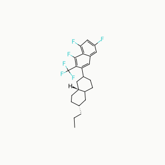 CCC[C@@H]1CC[C@@H]2CC(c3cc4cc(F)cc(F)c4c(F)c3C(F)(F)F)CCC2C1